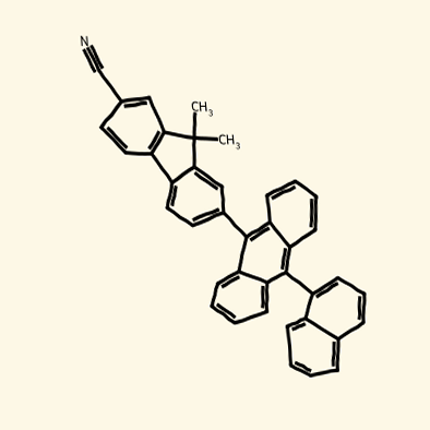 CC1(C)c2cc(C#N)ccc2-c2ccc(-c3c4ccccc4c(-c4cccc5ccccc45)c4ccccc34)cc21